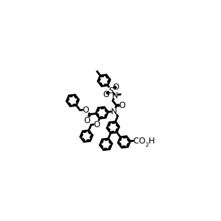 Cc1ccc(S(=O)(=O)N(C)CC(=O)N(Cc2ccc(-c3ccccc3)c(-c3cccc(C(=O)O)c3)c2)c2ccc(C(=O)OCc3ccccc3)c(OCc3ccccc3)c2)cc1